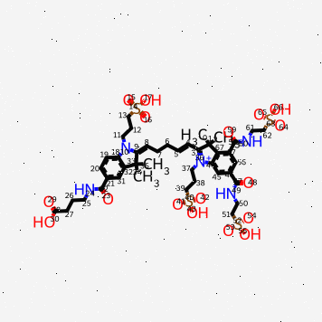 CC1(C)C(/C=C/CC/C=C2/N(CCCS(=O)(=O)O)c3ccc(C(=O)NCCCC(=O)O)cc3C2(C)C)=[N+](CCCS(=O)(=O)O)c2cc(C(=O)NCCS(=O)(=O)O)cc(C(=O)NCCS(=O)(=O)O)c21